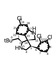 CC(C)(C)C[C@@H]1NC[C@H](c2cccc(Cl)c2Cl)[C@]12CNc1cc(Cl)ccc12